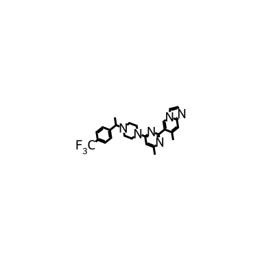 Cc1cc(N2CCN(C(C)c3ccc(C(F)(F)F)cc3)CC2)nc(-c2cn3ccnc3cc2C)n1